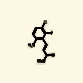 COC(=O)/C=C/c1c(N)ccc(Cl)c1F